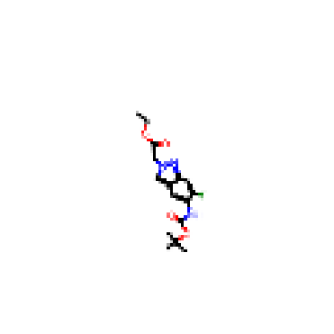 CCOC(=O)Cn1cc2cc(NC(=O)OC(C)(C)C)c(F)cc2n1